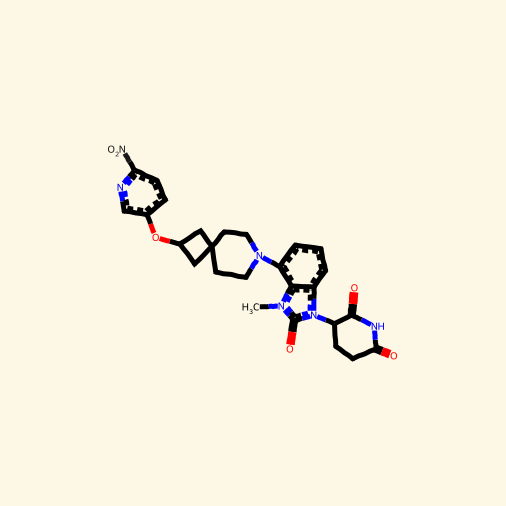 Cn1c(=O)n(C2CCC(=O)NC2=O)c2cccc(N3CCC4(CC3)CC(Oc3ccc([N+](=O)[O-])nc3)C4)c21